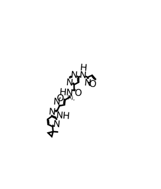 C[C@@H](NC(=O)c1cc(Nc2ccon2)ncn1)c1cc(-c2nc3ccc(C4(C)CC4)nc3[nH]2)no1